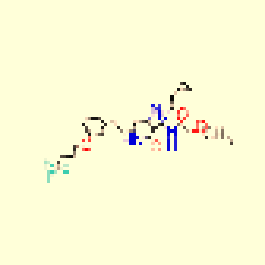 COCC(=O)Nc1c2c(nn1CCC1CC1)CC(CCc1cccc(OCCCC(F)(F)F)c1)NC2=O